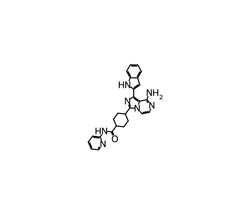 Nc1nccn2c(C3CCC(C(=O)Nc4ccccn4)CC3)nc(-c3cc4ccccc4[nH]3)c12